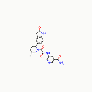 C[C@@H]1CC[C@@H](c2ccc3c(c2)CC(=O)N3)N(C(=O)C(=O)Nc2cncc(C(N)=O)c2)C1